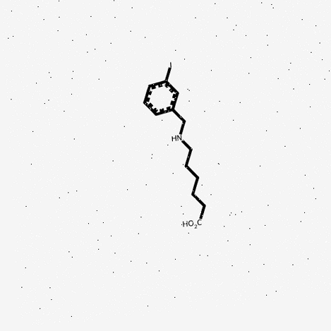 O=C(O)CCCCCNCc1cccc(I)c1